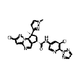 Cn1ccc([C@@]2(C)C[C@H](C(=O)Nc3cnc(-n4nccn4)c(Cl)c3)c3cnc4cc(Cl)nn4c32)n1